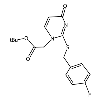 CC(C)(C)OC(=O)Cn1ccc(=O)nc1SCc1ccc(F)cc1